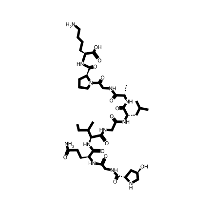 CCC(C)[C@H](NC(=O)[C@H](CCC(N)=O)NC(=O)CNC(=O)[C@@H]1C[C@@H](O)CN1)C(=O)NCC(=O)N[C@@H](CC(C)C)C(=O)N[C@@H](C)C(=O)NCC(=O)N1CCC[C@H]1C(=O)N[C@@H](CCCCN)C(=O)O